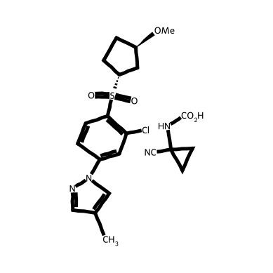 CO[C@@H]1CC[C@@H](S(=O)(=O)c2ccc(-n3cc(C)cn3)cc2Cl)C1.N#CC1(NC(=O)O)CC1